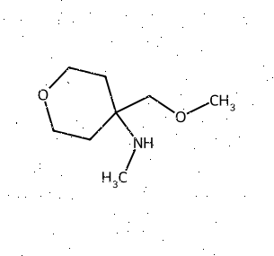 CNC1(COC)CCOCC1